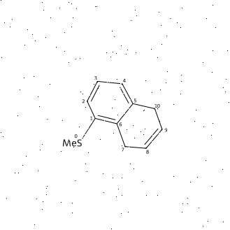 CSc1cccc2c1CC=C[CH]2